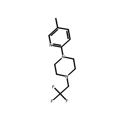 Cc1ccc(N2CCN(CC(F)(F)F)CC2)nc1